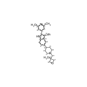 Cc1cc(-c2[nH]c3ccc(C4CCN(CC5(C)COC5)CC4)cc3c2C(C)C)cc(C)n1